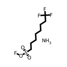 N.O=S(=O)(CCCCCCCC(F)(F)F)OF